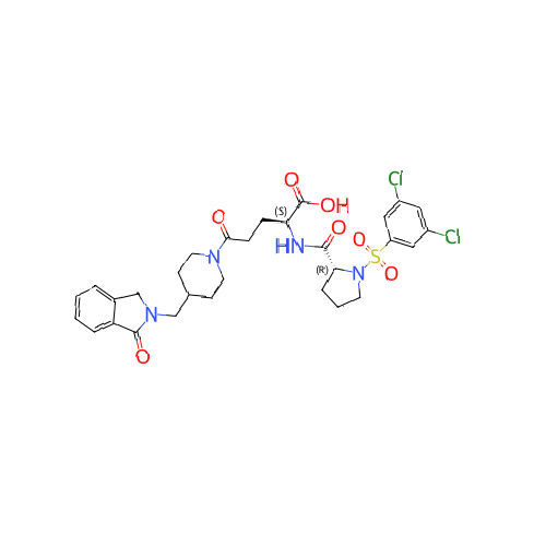 O=C(O)[C@H](CCC(=O)N1CCC(CN2Cc3ccccc3C2=O)CC1)NC(=O)[C@H]1CCCN1S(=O)(=O)c1cc(Cl)cc(Cl)c1